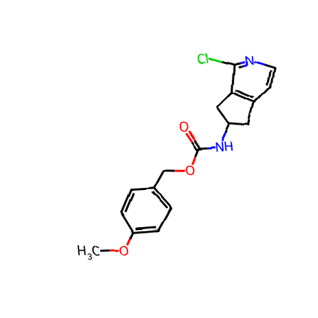 COc1ccc(COC(=O)NC2Cc3ccnc(Cl)c3C2)cc1